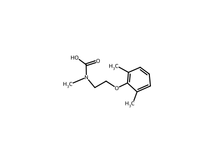 Cc1cccc(C)c1OCCN(C)C(=O)O